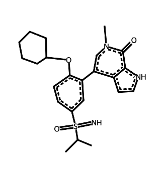 CC(C)S(=N)(=O)c1ccc(OC2CCCCC2)c(-c2cn(C)c(=O)c3[nH]ccc23)c1